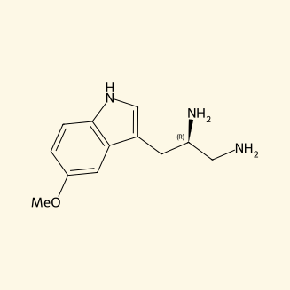 COc1ccc2[nH]cc(C[C@@H](N)CN)c2c1